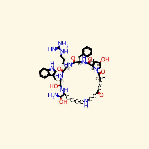 C[C@H]1CCC(=O)CCNCCCCC(C(N)O)NC(O)[C@H](Cc2c[nH]c3ccccc23)NC(=O)[C@H](CCCNC(=N)N)NC(=O)[C@@H](Cc2ccccc2)NC(=O)[C@@H]2C[C@@H](O)CN2C1=O